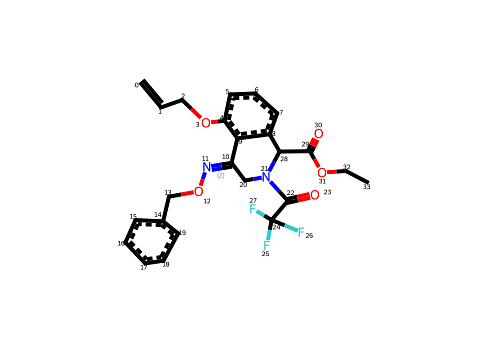 C=CCOc1cccc2c1/C(=N/OCc1ccccc1)CN(C(=O)C(F)(F)F)C2C(=O)OCC